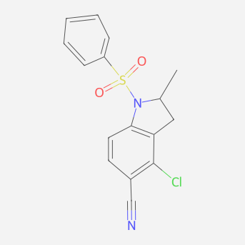 CC1Cc2c(ccc(C#N)c2Cl)N1S(=O)(=O)c1ccccc1